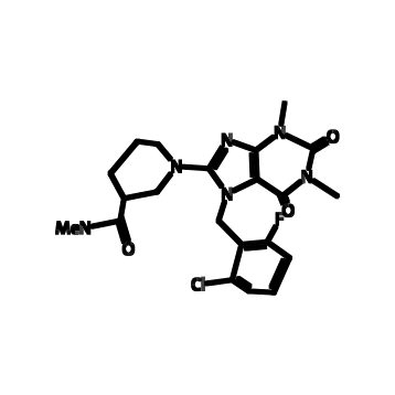 CNC(=O)C1CCCN(c2nc3c(c(=O)n(C)c(=O)n3C)n2Cc2c(F)cccc2Cl)C1